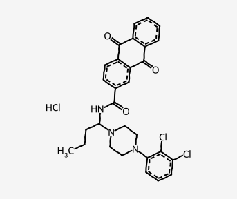 CCCC(NC(=O)c1ccc2c(c1)C(=O)c1ccccc1C2=O)N1CCN(c2cccc(Cl)c2Cl)CC1.Cl